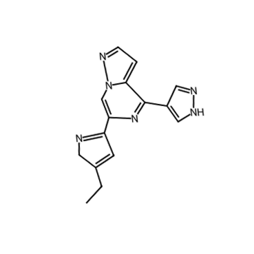 CCC1=CC(c2cn3nccc3c(-c3cn[nH]c3)n2)=NC1